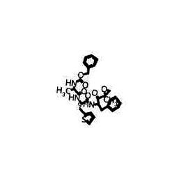 CC(NC(=O)OCc1ccccc1)C(=O)N[C@@H](Cc1cccs1)C(=O)NC(Cc1ccccc1)C(=O)C1(C)CO1